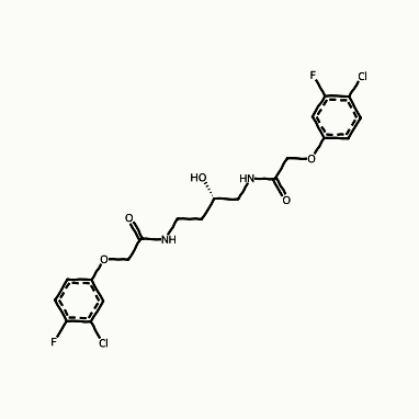 O=C(COc1ccc(F)c(Cl)c1)NCC[C@H](O)CNC(=O)COc1ccc(Cl)c(F)c1